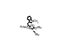 CC(=O)N[C@@H](Cc1cn(C)c2ccccc12)C(=O)N[C@@H](CCC(C)(C)C)C(=O)OC(C)(C)C